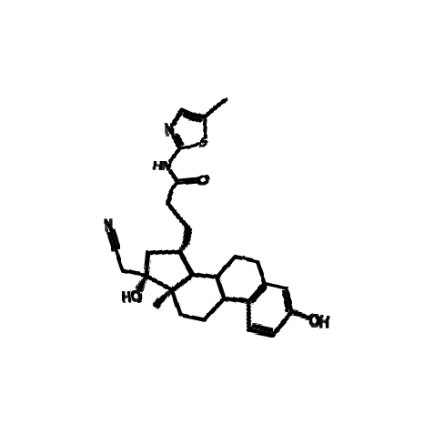 Cc1cnc(NC(=O)CC[C@@H]2C[C@@](O)(CC#N)[C@@]3(C)CCC4c5ccc(O)cc5CCC4C23)s1